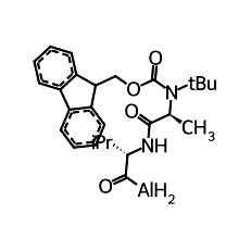 CC(C)[C@H](NC(=O)[C@H](C)N(C(=O)OCC1c2ccccc2-c2ccccc21)C(C)(C)C)[C](=O)[AlH2]